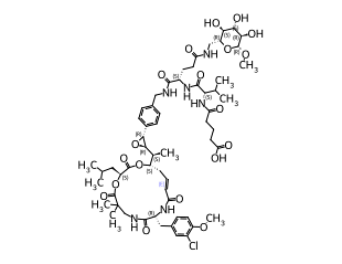 COc1ccc(C[C@H]2NC(=O)/C=C/C[C@@H]([C@H](C)[C@H]3O[C@@H]3c3ccc(CNC(=O)[C@H](CCC(=O)NC[C@H]4O[C@@H](OC)[C@H](O)[C@@H](O)[C@@H]4O)NC(=O)[C@@H](NC(=O)CCCC(=O)O)C(C)C)cc3)OC(=O)[C@H](CC(C)C)OC(=O)C(C)(C)CNC2=O)cc1Cl